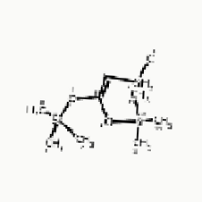 C[Si](C)(C)OC(=C[SiH2]Cl)O[Si](C)(C)C